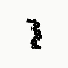 COc1ccc(Cc2nnc3ccc(Nc4cccc(OC)c4)nn23)cc1